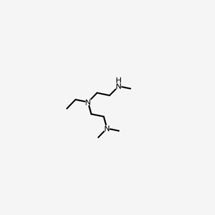 CCN(CCNC)CCN(C)C